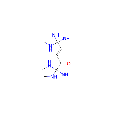 CNC(/C=C/C(=O)C(NC)(NC)NC)(NC)NC